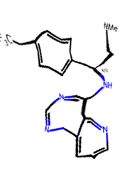 CNC[C@@H](Nc1ncnc2cccnc12)c1ccc(C(F)(F)F)cc1